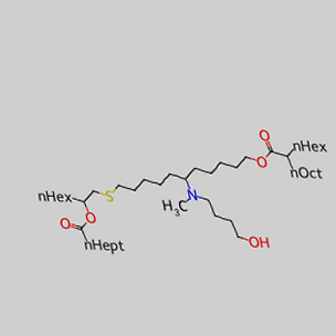 CCCCCCCCC(CCCCCC)C(=O)OCCCCCC(CCCCCSCC(CCCCCC)OC(=O)CCCCCCC)N(C)CCCCO